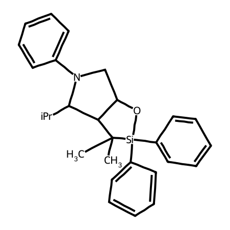 CC(C)C1C2C(CN1c1ccccc1)O[Si](c1ccccc1)(c1ccccc1)C2(C)C